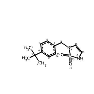 CC(C)(C)c1ccc(CN2C=CNS2(=O)=O)cc1